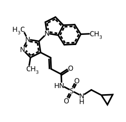 Cc1ccc2c(ccn2-c2c(/C=C/C(=O)NS(=O)(=O)NCC3CC3)c(C)nn2C)c1